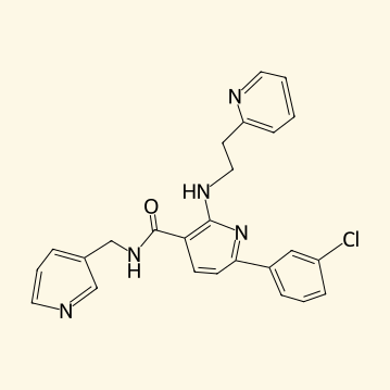 O=C(NCc1cccnc1)c1ccc(-c2cccc(Cl)c2)nc1NCCc1ccccn1